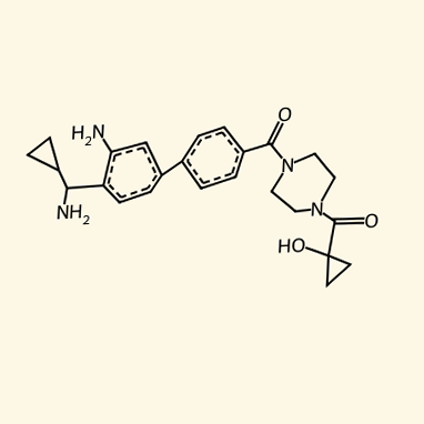 Nc1cc(-c2ccc(C(=O)N3CCN(C(=O)C4(O)CC4)CC3)cc2)ccc1C(N)C1CC1